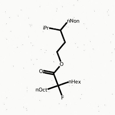 CCCCCCCCCC(CCOC(=O)C(F)(CCCCCC)CCCCCCCC)C(C)C